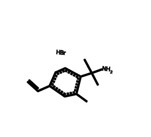 Br.C=Cc1ccc(C(C)(C)N)c(C)c1